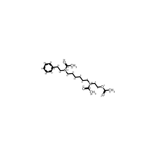 CC(=O)OCCN(CCCCCCN(CCc1ccccc1)C(C)=O)C(C)=O